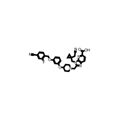 N#CCC1(Cn2c(CN3CCC(Oc4cccc(OCc5ccc(C#N)cc5F)c4)CC3)nc3ccc(C(=O)O)nc32)CC1